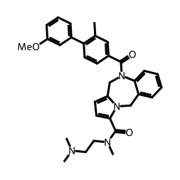 COc1cccc(-c2ccc(C(=O)N3Cc4ccc(C(=O)N(C)CCN(C)C)n4Cc4ccccc43)cc2C)c1